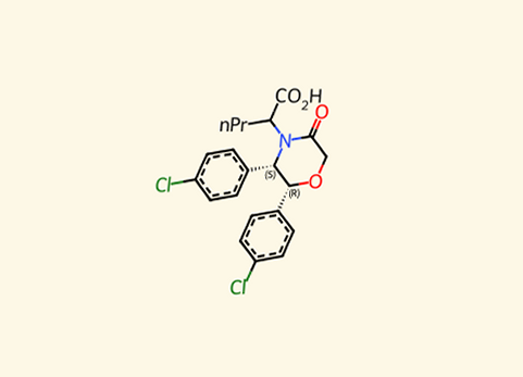 CCCC(C(=O)O)N1C(=O)CO[C@H](c2ccc(Cl)cc2)[C@@H]1c1ccc(Cl)cc1